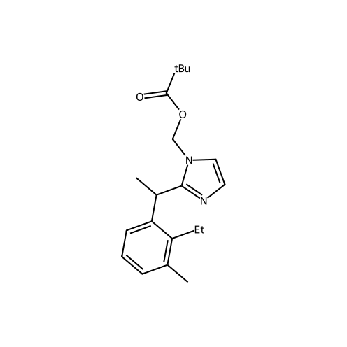 CCc1c(C)cccc1C(C)c1nccn1COC(=O)C(C)(C)C